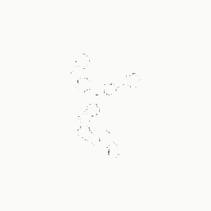 c1ccc(-c2ccc(N(c3ccc4c(c3)oc3ccc5oc6c7ccccc7ccc6c5c34)c3ccc4oc5ccccc5c4c3)cc2)cc1